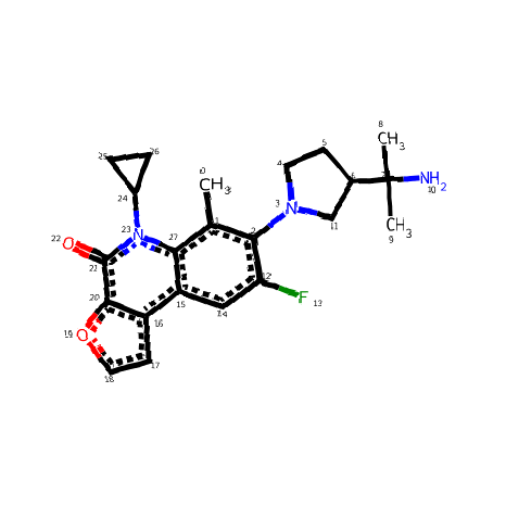 Cc1c(N2CCC(C(C)(C)N)C2)c(F)cc2c3ccoc3c(=O)n(C3CC3)c12